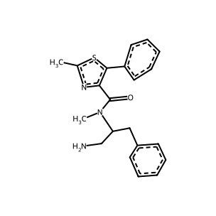 Cc1nc(C(=O)N(C)C(CN)Cc2ccccc2)c(-c2ccccc2)s1